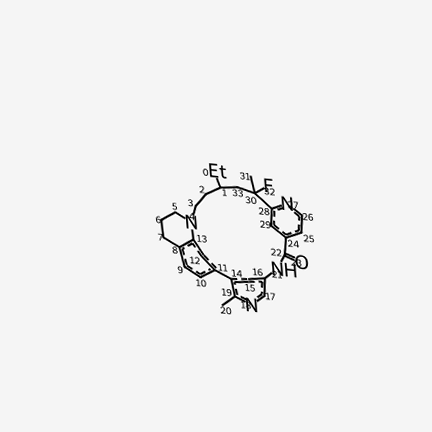 CCC1CCN2CCCc3ccc(cc32)-c2cc(cnc2C)NC(=O)c2ccnc(c2)C(C)(F)C1